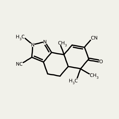 Cn1nc2c(c1C#N)CCC1C(C)(C)C(=O)C(C#N)=CC21C